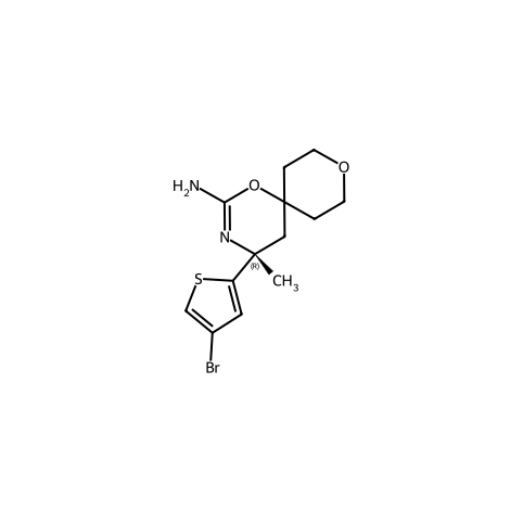 C[C@]1(c2cc(Br)cs2)CC2(CCOCC2)OC(N)=N1